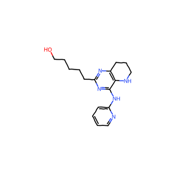 OCCCCCc1nc2c(c(Nc3ccccn3)n1)NCCC2